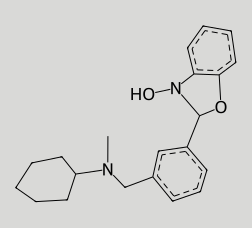 CN(Cc1cccc(C2Oc3ccccc3N2O)c1)C1CCCCC1